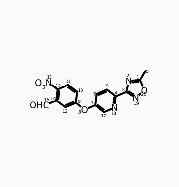 Cc1nc(-c2ccc(Oc3ccc([N+](=O)[O-])c(C=O)c3)cn2)no1